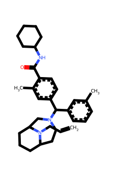 C=CCN1C2CCCC1CN(C(c1cccc(C)c1)c1ccc(C(=O)NC3CCCCC3)c(C)c1)CC2